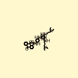 CCN(CC)CCCNc1nc(NCCCN(CC)CC)nc(Nc2ccc(NC(=O)c3cccc4c3C(=O)c3ccccc3C4=O)cc2)n1